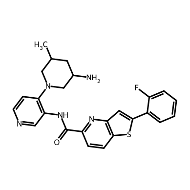 CC1CC(N)CN(c2ccncc2NC(=O)c2ccc3sc(-c4ccccc4F)cc3n2)C1